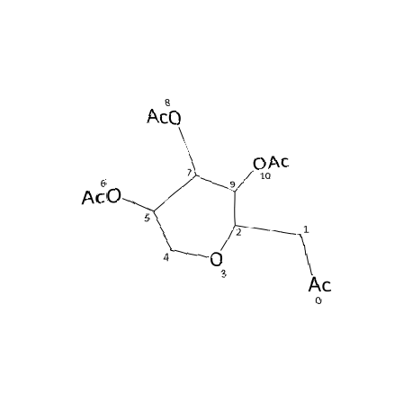 CC(=O)CC1OCC(OC(C)=O)C(OC(C)=O)C1OC(C)=O